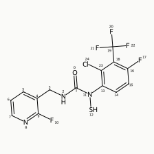 O=C(NCc1cccnc1F)N(S)c1ccc(F)c(C(F)(F)F)c1Cl